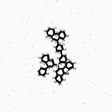 c1ccc(-c2cc(N(c3cccc(-c4ccc(-c5cc6ccccc6c6ccccc56)cc4)c3)c3cc4ccccc4c4sc5ccccc5c34)cc3ccccc23)cc1